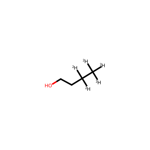 [2H]C([2H])([2H])C([2H])([2H])CCO